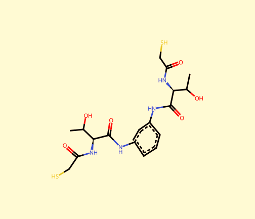 CC(O)[C@H](NC(=O)CS)C(=O)Nc1cccc(NC(=O)[C@@H](NC(=O)CS)C(C)O)c1